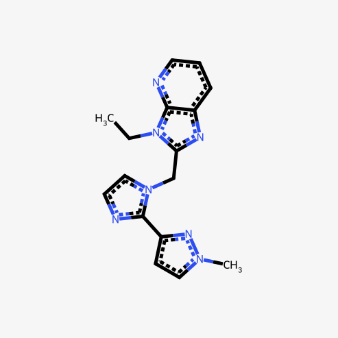 CCn1c(Cn2ccnc2-c2ccn(C)n2)nc2cccnc21